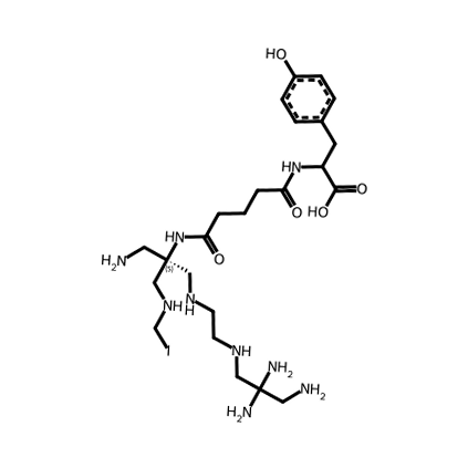 NCC(N)(N)CNCCNC[C@@](CN)(CNCI)NC(=O)CCCC(=O)NC(Cc1ccc(O)cc1)C(=O)O